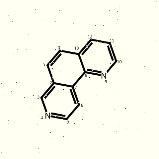 [c]1cc2cnccc2c2ncccc12